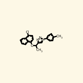 Cc1ccc(-n2cc(C(C)Oc3ccc(Cl)c4ccccc34)nn2)cc1